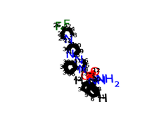 NC(=O)C12CC3C[C@H](C1)C(NC(=O)ON1CCN(c4ccc(N5CCC(F)(F)CC5)cn4)c4ccccc41)[C@@H](C3)C2